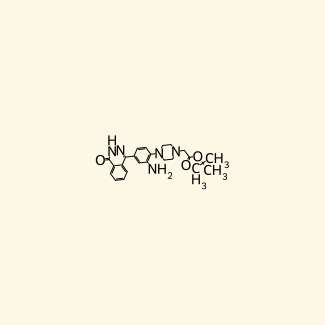 CC(C)(C)OC(=O)CN1CCN(c2ccc(-c3n[nH]c(=O)c4ccccc34)cc2N)CC1